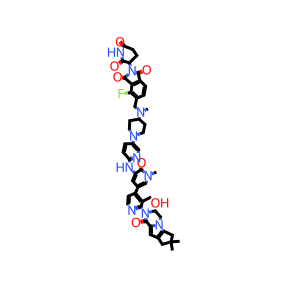 CN(Cc1ccc2c(c1F)C(=O)N(C1CCC(=O)NC1=O)C2=O)C1CCN(c2ccc(Nc3cc(-c4ccnc(N5CCn6c(cc7c6CC(C)(C)C7)C5=O)c4CO)cn(C)c3=O)nc2)CC1